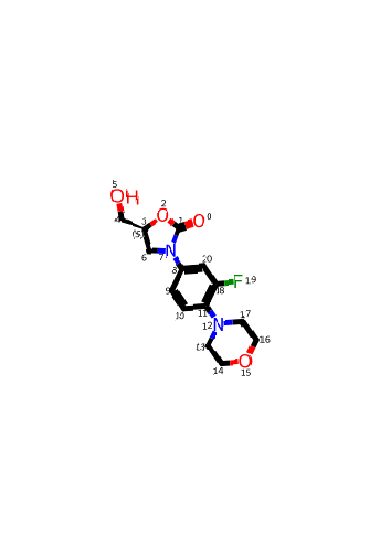 O=C1O[C@H](CO)CN1c1ccc(N2CCOCC2)c(F)c1